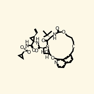 C=C[C@@H]1C[C@]1(NC(=O)[C@@H]1C[C@H]2Oc3nccc4ccc(cc34)CCCCCOC(=O)N[C@@H](C(C)(C)C)C(=O)N1C2O)C(=O)NS(=O)(=O)C1CC1